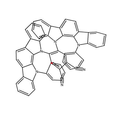 N#Cc1cc(-n2c3ccccc3c3ccc4c5ccccc5n(-c5ccccc5)c4c32)c(-n2c3ccccc3c3ccc4c5ccccc5n(-c5ccccc5)c4c32)cc1C#N